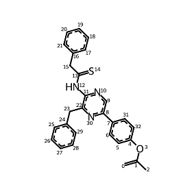 C=C(C)Oc1ccc(-c2cnc(NC(=S)Cc3ccccc3)c(Cc3ccccc3)n2)cc1